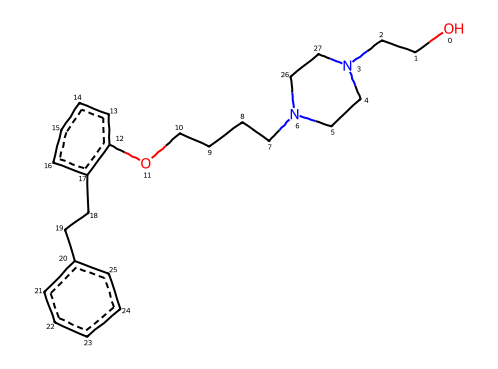 OCCN1CCN(CCCCOc2ccccc2CCc2ccccc2)CC1